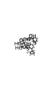 Cc1ccsc1C(=CCCN1CCC[C@@H](C(=O)O)C1)c1sccc1C.O=C(O)C(O)C(O)C(=O)O